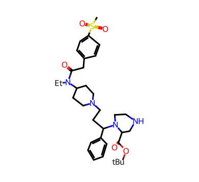 CCN(C(=O)Cc1ccc(S(C)(=O)=O)cc1)C1CCN(CCC(c2ccccc2)N2CCNCC2C(=O)OC(C)(C)C)CC1